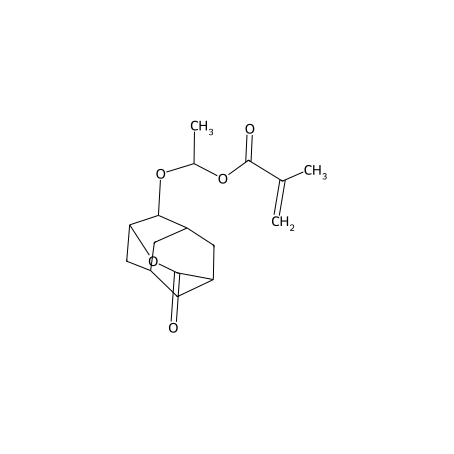 C=C(C)C(=O)OC(C)OC1C2CC3CC(C2)C(=O)OC1C3